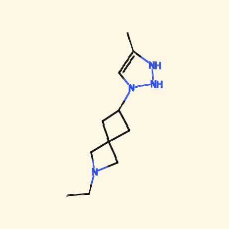 CCN1CC2(CC(N3C=C(C)NN3)C2)C1